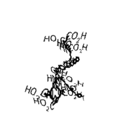 O=C(O)CCC(NC(=O)NC(CCCCNC(=O)C(CC(=O)C1CCC(CNC(=O)CC[C@H](NC(=O)CN2CCN(CC(=O)O)CCN(CC(=O)O)CCN(CC(=O)O)CC2)C(=O)NC(CCCCNC(=O)CCCc2ccc(I)cc2)C(=O)O)CC1)Cc1ccc2ccccc2c1)C(=O)O)C(=O)O